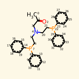 CC(=O)CN(CCP(c1ccccc1)c1ccccc1)CCP(c1ccccc1)c1ccccc1